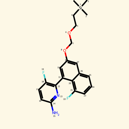 C[Si](C)(C)CCOCOc1cc(-c2nc(N)ccc2F)c2c(F)cccc2c1